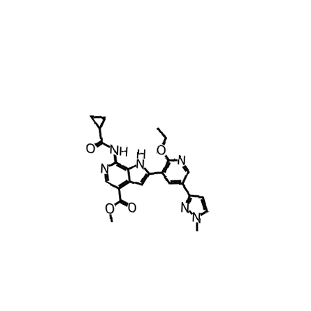 CCOc1ncc(-c2ccn(C)n2)cc1-c1cc2c(C(=O)OC)cnc(NC(=O)C3CC3)c2[nH]1